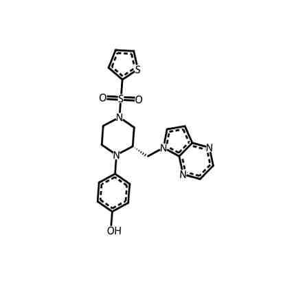 O=S(=O)(c1cccs1)N1CCN(c2ccc(O)cc2)[C@@H](Cn2ccc3nccnc32)C1